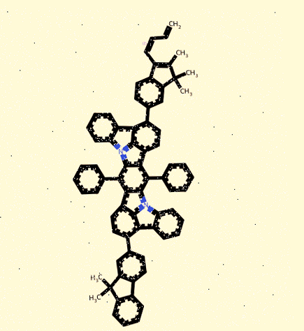 C=C/C=C\C1=C(C)C(C)(C)c2cc(-c3ccc4c5c(-c6ccccc6)c6c(c(-c7ccccc7)c5n5c7ccccc7c3c45)c3ccc(-c4ccc5c(c4)C(C)(C)c4ccccc4-5)c4c5ccccc5n6c34)ccc21